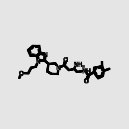 COCCCn1c(C2CCCN(C(=O)CC(N)CNC(=O)c3ccc(C)c(C)c3)C2)nc2ccccc21